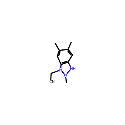 Cc1cc2c(cc1C)N(CC#N)N(C)N2